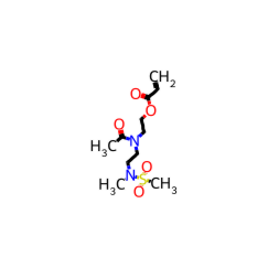 C=CC(=O)OCCN(CCN(C)S(C)(=O)=O)C(C)=O